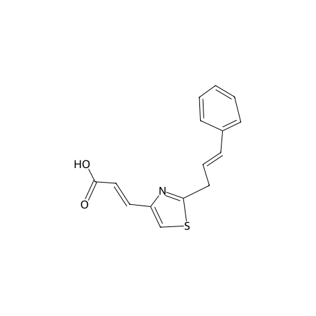 O=C(O)C=Cc1csc(CC=Cc2ccccc2)n1